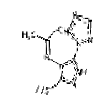 CC(C)=Nc1c(S)n[nH]c1-n1cncn1